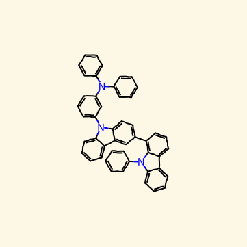 c1ccc(N(c2ccccc2)c2cccc(-n3c4ccccc4c4cc(-c5cccc6c7ccccc7n(-c7ccccc7)c56)ccc43)c2)cc1